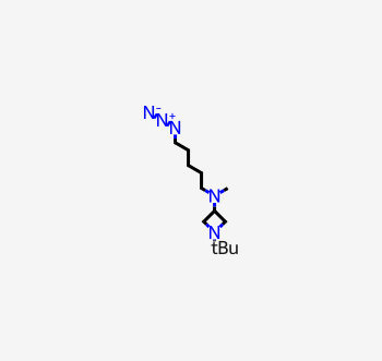 CN(CCCCCN=[N+]=[N-])C1CN(C(C)(C)C)C1